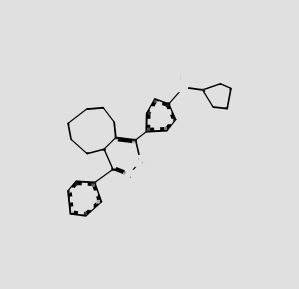 B(c1ccc(C2=C3CCCCCCC3C(c3ccccc3)=NN2)cc1)C1CCCC1